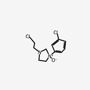 [O-][N+]1(c2cccc(Cl)c2)CCN(CCCl)C1